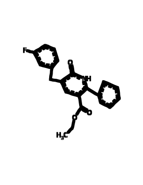 CCOC(=O)c1cc(Cc2cccc(F)c2)c(=O)[nH]c1-c1ccccc1